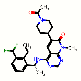 CCc1c(C(F)F)cccc1[C@@H](C)Nc1ncnc2c1cc(C1CCN(C(C)=O)CC1)c(=O)n2C